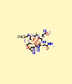 CSCC[C@H](NC(=O)[C@H](C)NC(=O)[C@H](CCC(N)=O)NC(=O)[C@H](CCC(N)=O)NC(=O)[C@@H]1CCCN1)C(=O)N[C@H](C(=O)O)[C@@H](C)O